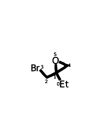 CCC1(CBr)CO1